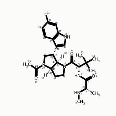 CN[C@@H](C)C(=O)N[C@H](C(=O)N1CC[C@@H]2[C@H]1[C@@H](c1c[nH]c3cc(F)ccc13)CN2C(C)=O)C(C)(C)C